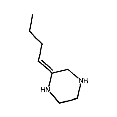 CCCC=C1CNCCN1